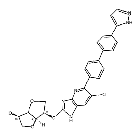 O[C@@H]1CO[C@H]2C1OC[C@H]2Oc1nc2nc(-c3ccc(-c4ccc(-c5ccn[nH]5)cc4)cc3)c(Cl)cc2[nH]1